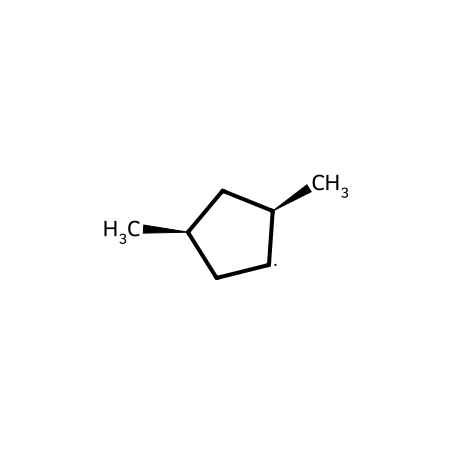 C[C@@H]1C[CH][C@H](C)C1